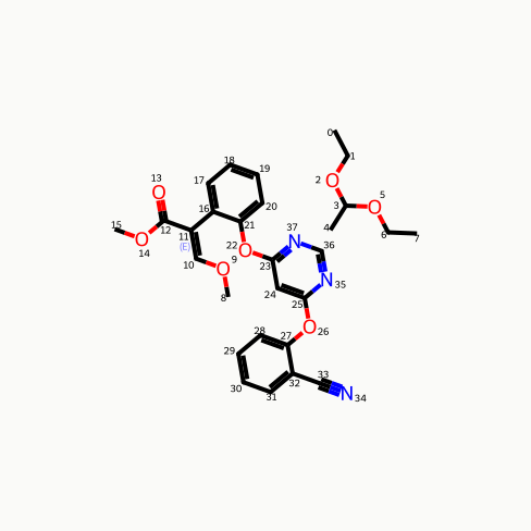 CCOC(C)OCC.CO/C=C(/C(=O)OC)c1ccccc1Oc1cc(Oc2ccccc2C#N)ncn1